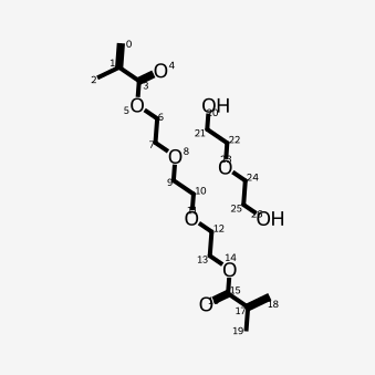 C=C(C)C(=O)OCCOCCOCCOC(=O)C(=C)C.OCCOCCO